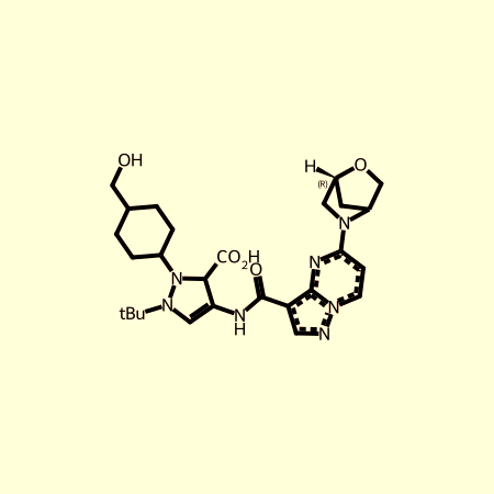 CC(C)(C)N1C=C(NC(=O)c2cnn3ccc(N4C[C@H]5CC4CO5)nc23)C(C(=O)O)N1C1CCC(CO)CC1